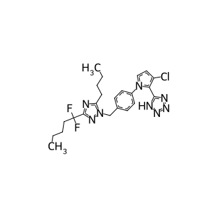 CCCCc1nc(C(F)(F)CCCC)nn1Cc1ccc(-n2ccc(Cl)c2-c2nnn[nH]2)cc1